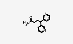 NC(=O)CCC(c1cccnc1)c1cccnc1